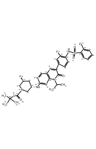 CC(C)n1c(=O)c(-c2ccc(NS(=O)(=O)c3ccccc3Cl)c(F)c2)nc2cnc(N[C@H]3C[C@H](F)CN(C(=O)OC(C)(C)C)C3)nc21